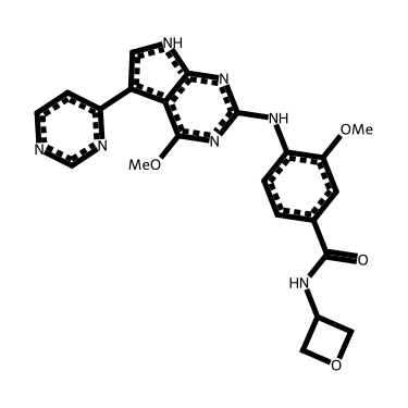 COc1cc(C(=O)NC2COC2)ccc1Nc1nc(OC)c2c(-c3ccncn3)c[nH]c2n1